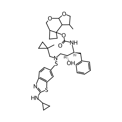 CC1COC2OCC3CCC3(OC(=O)N[C@@H](Cc3ccccc3)[C@H](O)CN(CC3(C)CC3)Sc3ccc4nc(NC5CC5)sc4c3)C12